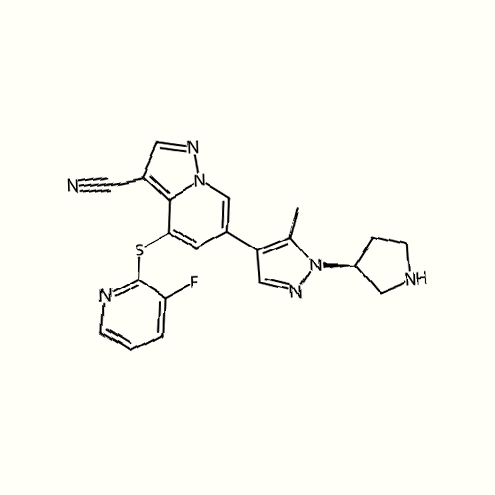 Cc1c(-c2cc(Sc3ncccc3F)c3c(C#N)cnn3c2)cnn1[C@H]1CCNC1